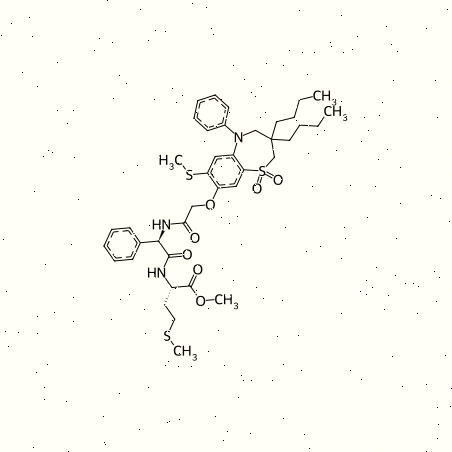 CCCCC1(CCCC)CN(c2ccccc2)c2cc(SC)c(OCC(=O)N[C@@H](C(=O)N[C@@H](CCSC)C(=O)OC)c3ccccc3)cc2S(=O)(=O)C1